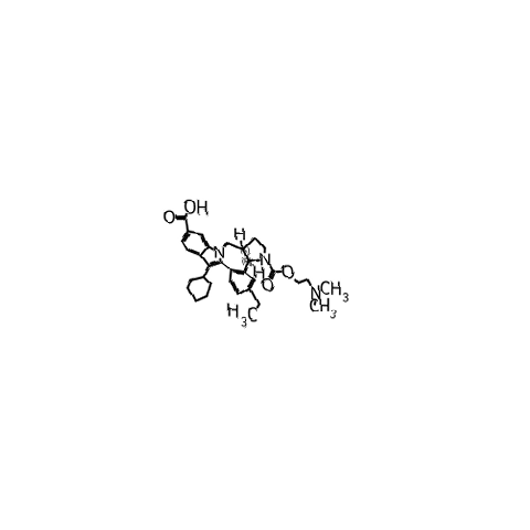 CCc1ccc2c(c1)[C@H]1[C@@H](CCN1C(=O)OCCN(C)C)Cn1c-2c(C2CCCCC2)c2ccc(C(=O)O)cc21